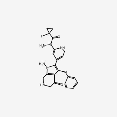 NN(C(=O)C1(F)CC1)C1=CC(c2c(Nc3ccccc3)c3c(n2N)CNCC3=O)=CCN1